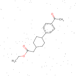 CCOC(=O)CC1CCC(c2ccc(C(C)=O)cc2)CC1